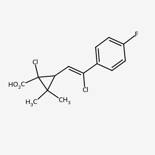 CC1(C)C(C=C(Cl)c2ccc(F)cc2)C1(Cl)C(=O)O